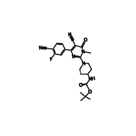 Cn1c(N2CCC(NC(=O)OC(C)(C)C)CC2)nc(-c2ccc(C#N)c(F)c2)c(C#N)c1=O